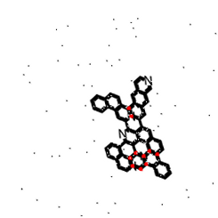 [c]1c(-c2ccc3cc4ccncc4cc3c2)c2c(-c3cc4c(ccc5ccccc54)cn3)nc(-c3cccc4ccc5ccncc5c34)c(-c3cncc4c3ccc3ccccc34)c2c2ccccc12